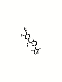 CCN(c1ccc(C#N)c(F)c1)c1cc(-c2c(C)noc2C)ccc1C